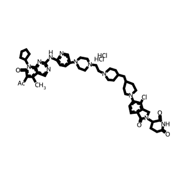 CC(=O)c1c(C)c2cnc(Nc3ccc(N4CCN(CCN5CCC(CC6CCN(c7ccc8c(c7Cl)CN(C7CCC(=O)NC7=O)C8=O)CC6)CC5)CC4)cn3)nc2n(C2CCCC2)c1=O.Cl.Cl